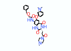 CN1CCN(C(=O)CC[C@H]2NC(=O)c3cc(Oc4cccc(N(C)C)c4)c(NC(=O)COCc4ccccc4)cc3NC2=O)CC1